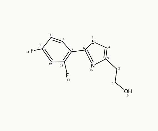 OCCc1csc(-c2ccc(F)cc2F)n1